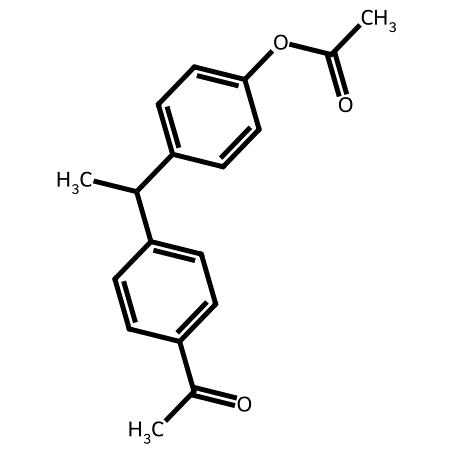 CC(=O)Oc1ccc(C(C)c2ccc(C(C)=O)cc2)cc1